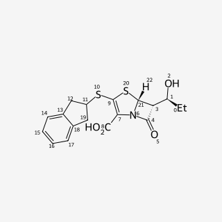 CC[C@H](O)[C@@H]1C(=O)N2C(C(=O)O)=C(SC3Cc4ccccc4C3)S[C@H]12